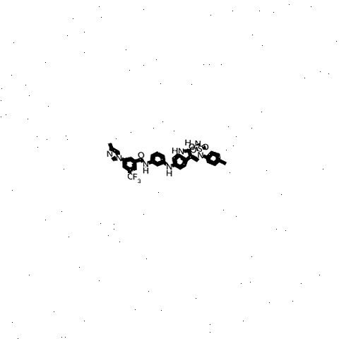 Cc1ccc(N(C=C2C(=O)Nc3cc(Nc4cccc(NC(=O)c5cc(-n6cnc(C)c6)cc(C(F)(F)F)c5)c4)ccc32)S(N)(=O)=O)cc1